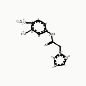 CCOC(=O)c1ccc(NC(=O)Cn2ncnn2)cc1O